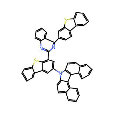 c1ccc2c(c1)ccc1c2c2c3ccccc3ccc2n1-c1cc(-c2nc(-c3ccc4c(c3)sc3ccccc34)c3ccccc3n2)c2sc3ccccc3c2c1